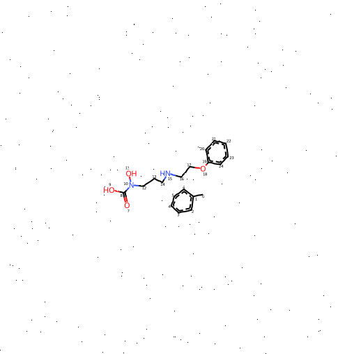 Cc1ccccc1.O=C(O)N(O)CCCNCCOc1ccccc1